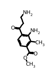 COC(=O)c1ccc(C(=O)CCN)c(N)c1C